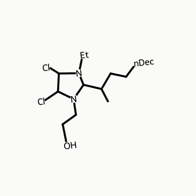 CCCCCCCCCCCCC(C)C1N(CC)C(Cl)C(Cl)N1CCO